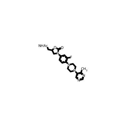 CC(=O)NCC1CN(c2ccc(N3CCN(c4cncnc4C)CC3)c(F)c2)C(=O)O1